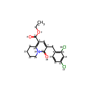 CCOC(=O)c1cc(Cc2ccc(Cl)cc2Cl)c(=O)n2c1CCCC2